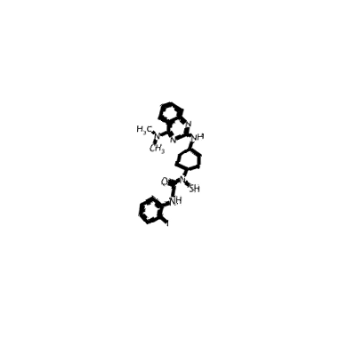 CN(C)c1nc(NC2CCC(N(S)C(=O)Nc3ccccc3I)CC2)nc2ccccc12